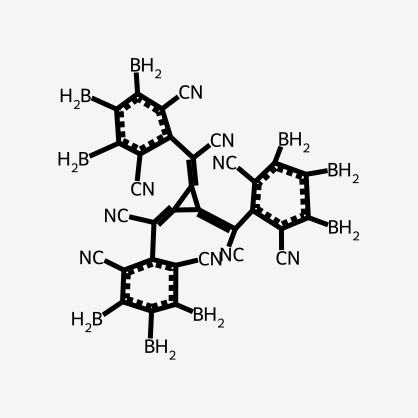 Bc1c(B)c(C#N)c(C(C#N)=C2C(=C(C#N)c3c(C#N)c(B)c(B)c(B)c3C#N)C2=C(C#N)c2c(C#N)c(B)c(B)c(B)c2C#N)c(C#N)c1B